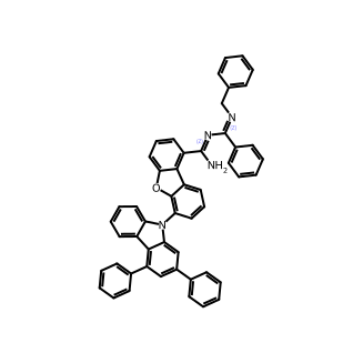 N/C(=N\C(=N/Cc1ccccc1)c1ccccc1)c1cccc2oc3c(-n4c5ccccc5c5c(-c6ccccc6)cc(-c6ccccc6)cc54)cccc3c12